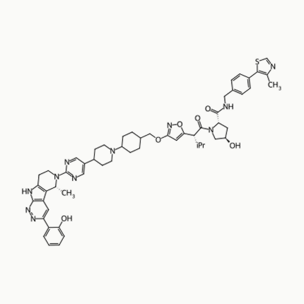 Cc1ncsc1-c1ccc(CNC(=O)[C@@H]2C[C@@H](O)CN2C(=O)[C@@H](c2cc(OCC3CCC(N4CCC(c5cnc(N6CCc7[nH]c8nnc(-c9ccccc9O)cc8c7[C@H]6C)nc5)CC4)CC3)no2)C(C)C)cc1